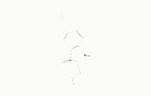 CC(C)CN1C(=O)c2ccc(OC(C)C)cc2C1=O